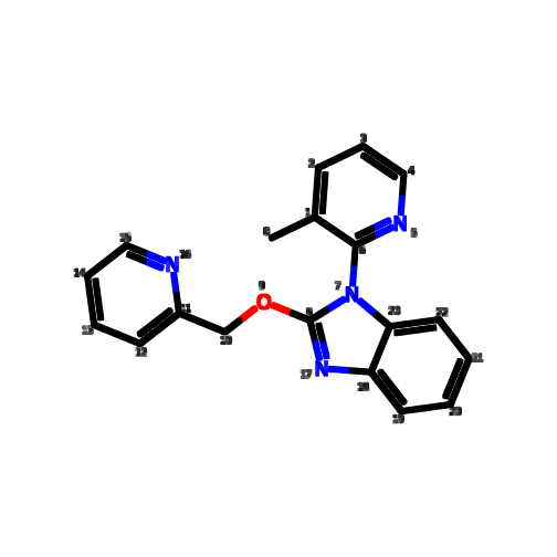 Cc1cccnc1-n1c(OCc2ccccn2)nc2ccccc21